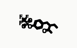 CCC(Cc1ccc(OS(=O)(=O)C(F)(F)F)cc1)C(C)=O